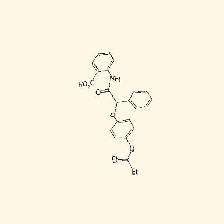 CCC(CC)Oc1ccc(OC(C(=O)Nc2ccccc2C(=O)O)c2ccccc2)cc1